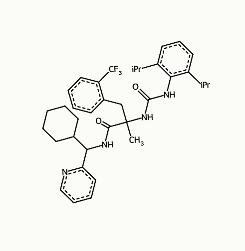 CC(C)c1cccc(C(C)C)c1NC(=O)NC(C)(Cc1ccccc1C(F)(F)F)C(=O)NC(c1ccccn1)C1CCCCC1